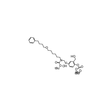 CC(C)(C)OC(=O)N(CCCCCCOCCCCc1ccccc1)C[C@@H](O)c1ccc(OP(=O)(OC(C)(C)C)OC(C)(C)C)c(CO)c1